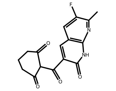 Cc1nc2[nH]c(=O)c(C(=O)C3C(=O)CCCC3=O)cc2cc1F